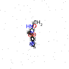 C=CC(=O)NC1CCN(S(=O)(=O)c2ccc(-n3cccn3)cc2)C2(CCC2)C1